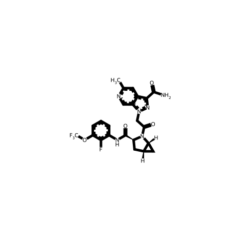 Cc1cc2c(C(N)=O)nn(CC(=O)N3[C@@H]4C[C@@H]4C[C@H]3C(=O)Nc3cccc(OC(F)(F)F)c3F)c2cn1